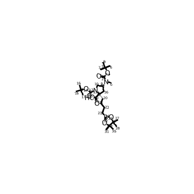 CN(C(=O)OC(C)(C)C)[C@H]1CN(C(=O)OC(C)(C)C)[C@](CCCCB2OC(C)(C)C(C)(C)O2)(C(=O)O)C1